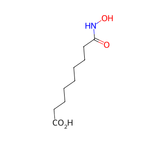 O=C(O)CCCCCCCC(=O)NO